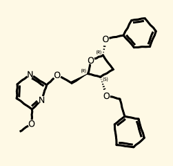 COc1ccnc(OC[C@H]2O[C@H](Oc3ccccc3)C[C@@H]2OCc2ccccc2)n1